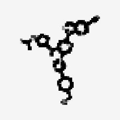 CC(=O)O.N#Cc1cnc2c(cnn2-c2cc(NC3CCCC3)c(-n3cc(C4CCC(CO)CC4)nn3)cn2)c1